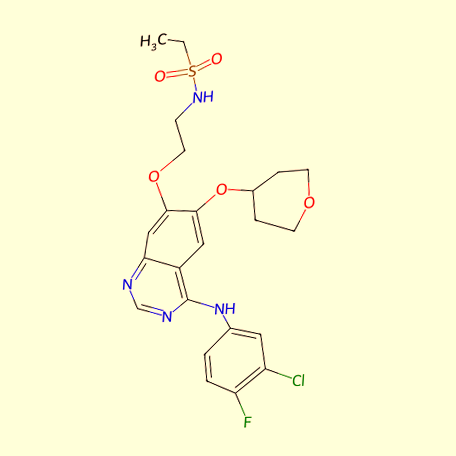 CCS(=O)(=O)NCCOc1cc2ncnc(Nc3ccc(F)c(Cl)c3)c2cc1OC1CCOCC1